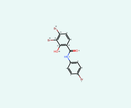 O=C(Nc1ccc(Br)cc1)c1ccc(Br)c(Br)c1O